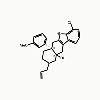 C=CCN1CC[C@@]2(c3cccc(OC)c3)Cc3[nH]c4c(Cl)cccc4c3C[C@]2(O)C1